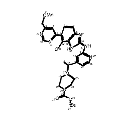 COCc1cc(-c2ccc3nc(Nc4cc(C(C)N5CCN(C(=O)OC(C)(C)C)CC5)ccn4)[nH]c3c2Cl)ncn1